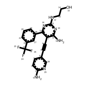 Nc1ccc(C#Cc2c(N)nc(NCCO)nc2-c2cccc(C(F)(F)F)c2)cn1